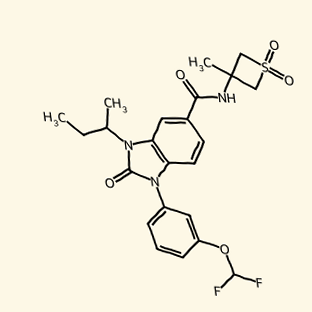 CCC(C)n1c(=O)n(-c2cccc(OC(F)F)c2)c2ccc(C(=O)NC3(C)CS(=O)(=O)C3)cc21